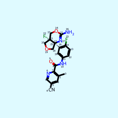 Cc1cc(C#N)cnc1C(=O)Nc1ccc(F)c([C@]23COC[C@@]2(F)COC(N)=N3)c1